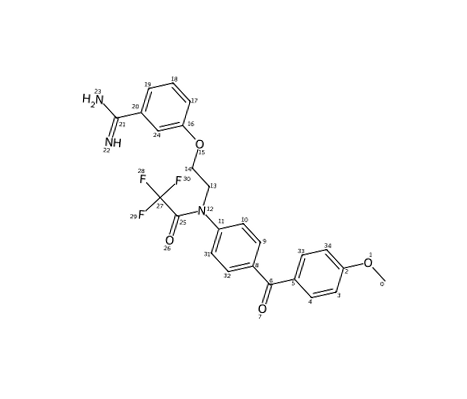 COc1ccc(C(=O)c2ccc(N(CCOc3cccc(C(=N)N)c3)C(=O)C(F)(F)F)cc2)cc1